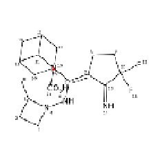 CC1CCN1N/C(=C1/CCC(F)(F)C1=N)N1CC2CC(C1)C2CC(=O)O